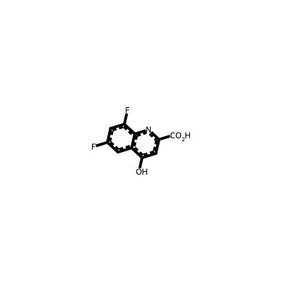 O=C(O)c1cc(O)c2cc(F)cc(F)c2n1